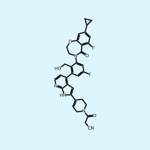 N#CCC(=O)N1CC=C(c2cc3c(-c4cc(F)cc(N5CCOc6cc(C7CC7)cc(F)c6C5=O)c4CO)ccnc3[nH]2)CC1